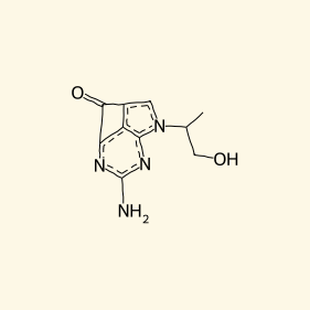 CC(CO)n1cc2c3c(nc(N)nc31)C2=O